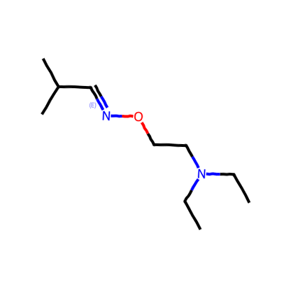 CCN(CC)CCO/N=C/C(C)C